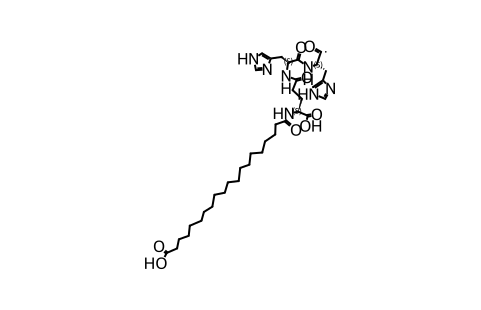 O=[C][C@H](Cc1c[nH]cn1)NC(=O)[C@H](Cc1c[nH]cn1)NC(=O)CC[C@H](NC(=O)CCCCCCCCCCCCCCCCCCC(=O)O)C(=O)O